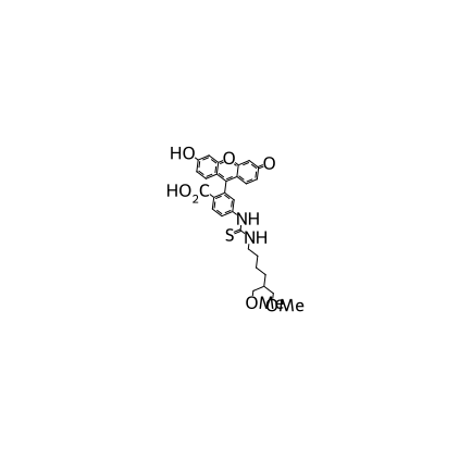 COCC(CCCCNC(=S)Nc1ccc(C(=O)O)c(-c2c3ccc(=O)cc-3oc3cc(O)ccc23)c1)COC